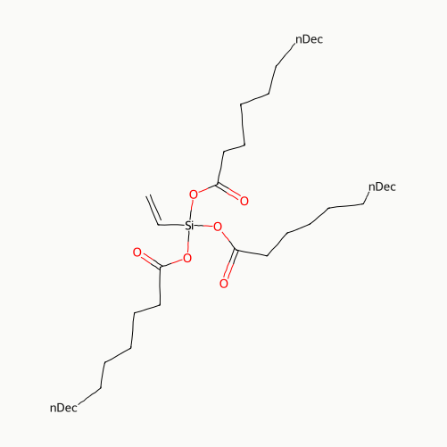 C=C[Si](OC(=O)CCCCCCCCCCCCCCC)(OC(=O)CCCCCCCCCCCCCCC)OC(=O)CCCCCCCCCCCCCCC